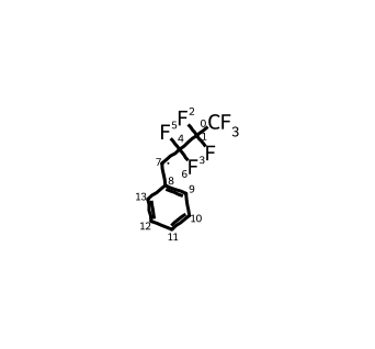 FC(F)(F)C(F)(F)C(F)(F)[CH]c1ccccc1